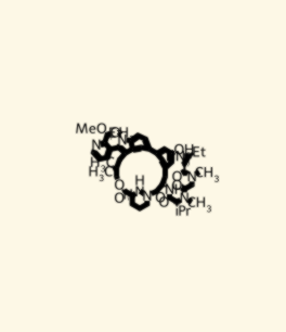 CC[C@@H]1N[C@@H]1C(=O)N(C)CC(=O)N(C)[C@H](C(=O)N[C@H]1Cc2cc(O)cc(c2)-c2ccc3c(c2)c(c(-c2cccnc2[C@H](C)OC)n3CC)CC(C)(C)COC(=O)[C@@H]2CCCN(N2)C1=O)C(C)C